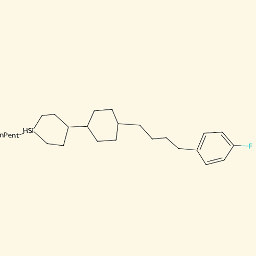 CCCCC[SiH]1CCC(C2CCC(CCCCc3ccc(F)cc3)CC2)CC1